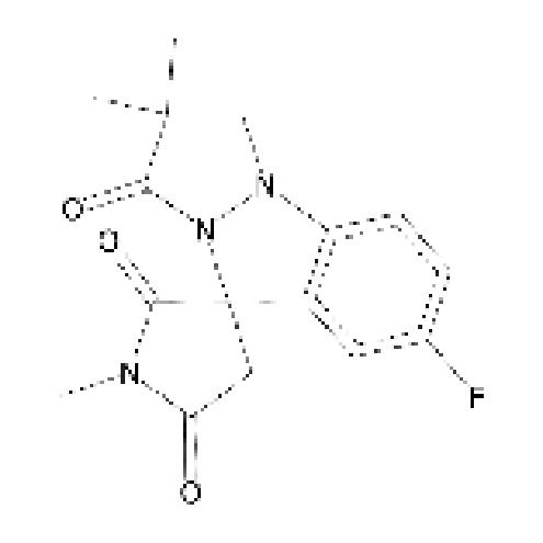 CN1C(=O)CC2(C1=O)c1cc(F)ccc1N1CC(C)(C)C(=O)N12